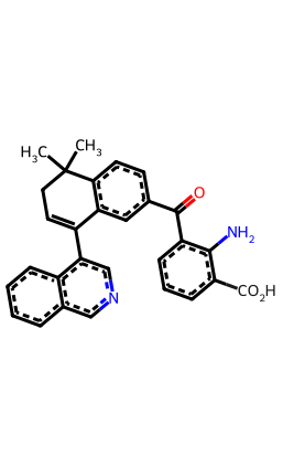 CC1(C)CC=C(c2cncc3ccccc23)c2cc(C(=O)c3cccc(C(=O)O)c3N)ccc21